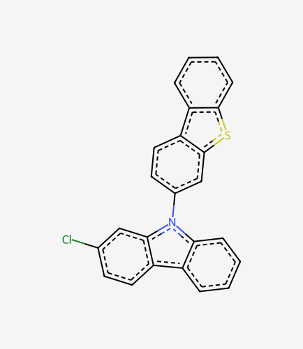 Clc1ccc2c3ccccc3n(-c3ccc4c(c3)sc3ccccc34)c2c1